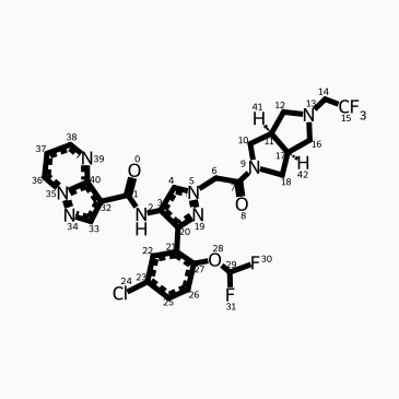 O=C(Nc1cn(CC(=O)N2C[C@H]3CN(CC(F)(F)F)C[C@H]3C2)nc1-c1cc(Cl)ccc1OC(F)F)c1cnn2cccnc12